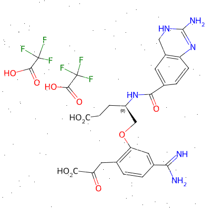 N=C(N)c1ccc(CC(=O)C(=O)O)c(OC[C@@H](CCC(=O)O)NC(=O)c2ccc3c(c2)CNC(N)=N3)c1.O=C(O)C(F)(F)F.O=C(O)C(F)(F)F